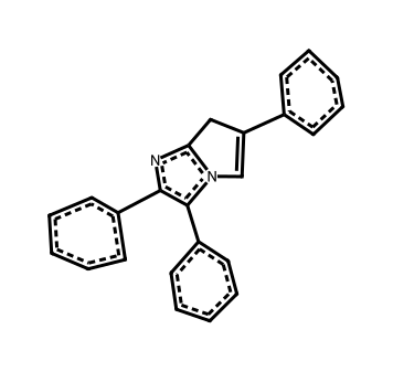 C1=C(c2ccccc2)Cc2nc(-c3ccccc3)c(-c3ccccc3)n21